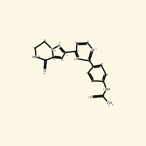 CC(=O)Nc1ccc(-c2nccc(-c3cc4n(n3)CCNC4=O)n2)cc1